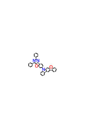 c1ccc(-c2nc(-c3ccccc3)c3oc4cc(-n5c6ccccc6c6cc7c(cc65)oc5ccccc57)ccc4c3n2)cc1